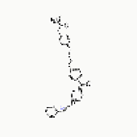 CNC(=O)Cc1ccc(CCCCc2ccc(C(=O)N3CCN(C/C=C/c4ccccc4)CC3)cc2)cc1